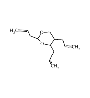 C=CCC1OCC(CC=C)C(CC=C)O1